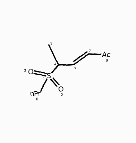 CCCS(=O)(=O)C(C)C=CC(C)=O